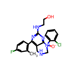 Cc1cc(F)ccc1-c1nc(NCCO)nc2c1CNC[N+]2([O-])c1ccccc1Cl